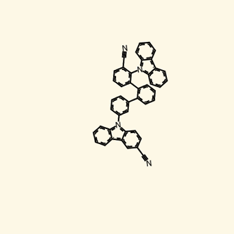 N#Cc1ccc2c(c1)c1ccccc1n2-c1cccc(-c2ccccc2-c2cccc(C#N)c2-n2c3ccccc3c3ccccc32)c1